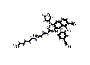 C#Cc1cccc(Nc2c(C#N)cnc3cc(O[C@H]4CCOC4)c(NC(=O)/C=C/CNCCCCCCO)cc23)c1